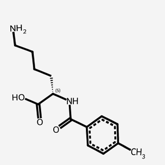 Cc1ccc(C(=O)N[C@@H](CCCCN)C(=O)O)cc1